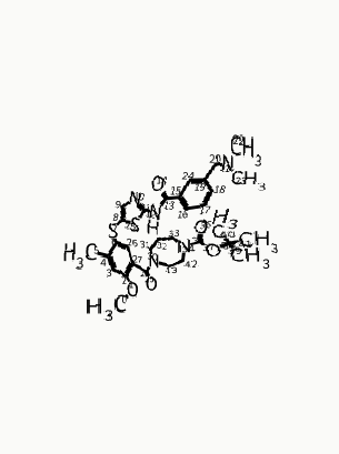 COc1cc(C)c(Sc2cnc(NC(=O)c3cccc(CN(C)C)c3)s2)cc1C(=O)N1CCCN(C(=O)OC(C)(C)C)CC1